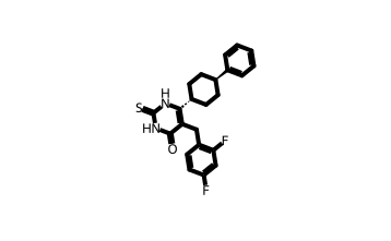 O=c1[nH]c(=S)[nH]c([C@H]2CC[C@H](c3ccccc3)CC2)c1Cc1ccc(F)cc1F